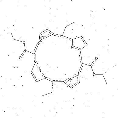 CCOC(=O)c1c2nc(c(CC)c3ccc([nH]3)c(C(=O)OCC)c3nc(c(CC)c4ccc1[nH]4)C=C3)C=C2